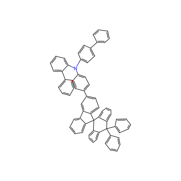 c1ccc(-c2ccc(N(c3ccc(-c4ccc5c(c4)-c4ccccc4C54c5ccccc5C(c5ccccc5)(c5ccccc5)c5ccccc54)cc3)c3ccccc3-c3ccccc3)cc2)cc1